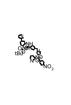 CC(C)(C)OC(=O)Nc1ccc(-c2cccs2)cc1NC(=O)c1ccc(CN2CC[C@H](N(c3cccnc3)S(=O)(=O)c3ccc([N+](=O)[O-])cc3)C2)cc1